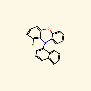 Clc1cccc2c1N(c1cccc3ccccc13)c1ccccc1O2